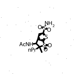 CCCC1(C)C(NC(C)=O)c2cc(S(N)(=O)=O)sc2S1(=O)=O